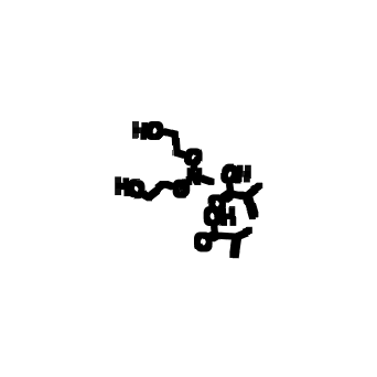 C=C(C)C(=O)O.C=C(C)C(=O)O.CN(OCCO)OCCO